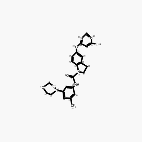 O=C(Nc1cc(N2CCOCC2)cc(C(F)(F)F)c1)N1CCc2cc(Oc3cc(Cl)ncn3)ccc21